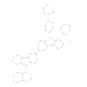 CC1(C)c2ccccc2-c2c1ccc1c3cc(-c4ccc5c(c4)c4ccccc4n5-c4cccc5ccccc45)ccc3n(-c3ccc(-c4ccccc4)cc3)c21